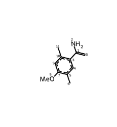 C=C(N)c1cc(C)c(OC)cc1C